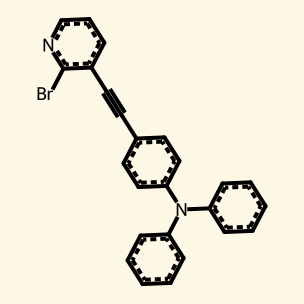 Brc1ncccc1C#Cc1ccc(N(c2ccccc2)c2ccccc2)cc1